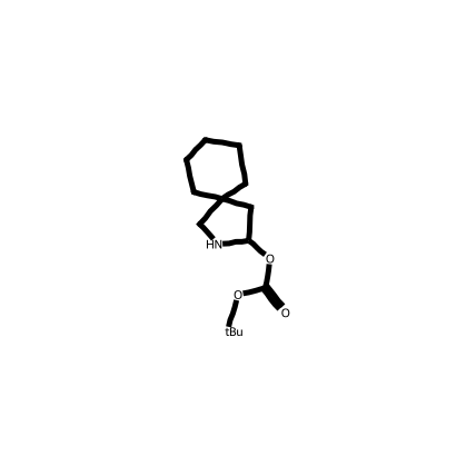 CC(C)(C)OC(=O)OC1CC2(CCCCC2)CN1